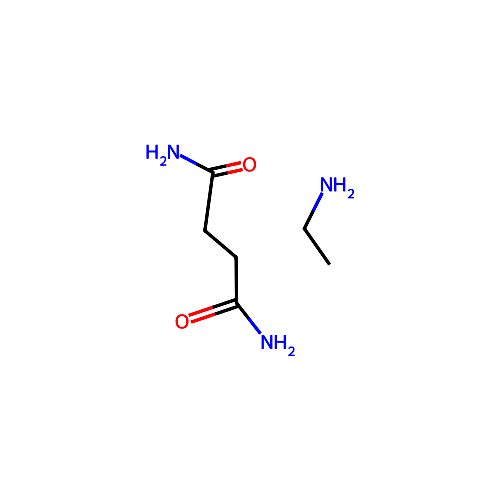 CCN.NC(=O)CCC(N)=O